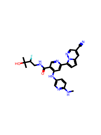 CNc1ccc(Nc2cc(-c3ccc4cc(C#N)cnn34)ncc2C(=O)NCC(F)C(C)(C)O)cn1